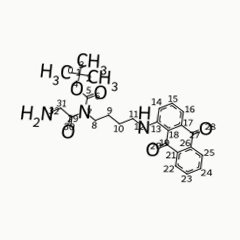 CC(C)(C)OC(=O)N(CCCCNc1cccc2c1C(=O)c1ccccc1C2=O)C(=O)CN